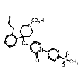 CS(=O)(=O)c1ccc(-n2ccc(OC3(c4ccccc4CCF)CCN(C(=O)O)CC3)cc2=O)cc1